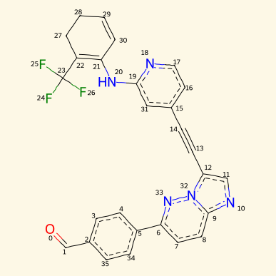 O=Cc1ccc(-c2ccc3ncc(C#Cc4ccnc(NC5=C(C(F)(F)F)CCC=C5)c4)n3n2)cc1